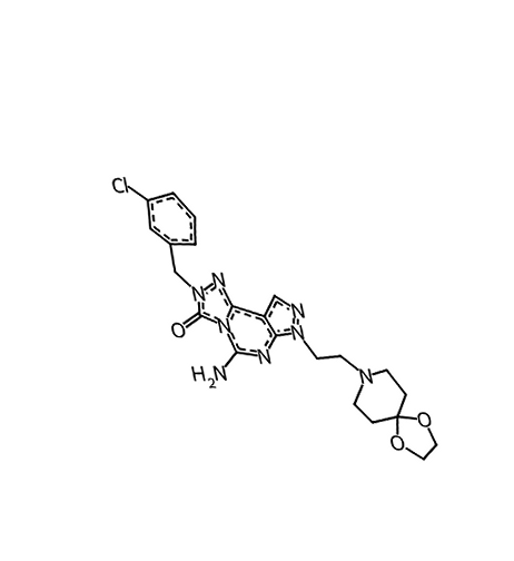 Nc1nc2c(cnn2CCN2CCC3(CC2)OCCO3)c2nn(Cc3cccc(Cl)c3)c(=O)n12